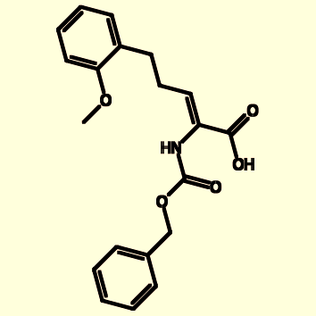 COc1ccccc1CCC=C(NC(=O)OCc1ccccc1)C(=O)O